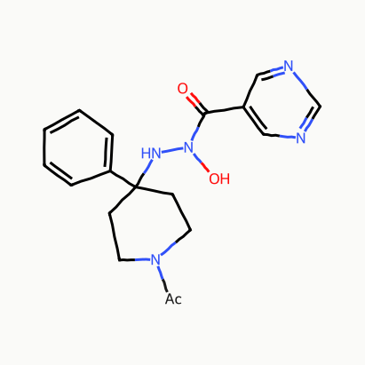 CC(=O)N1CCC(NN(O)C(=O)c2cncnc2)(c2ccccc2)CC1